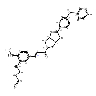 CNc1ncc(/C=C/C(=O)N2CC3C=C(c4ccc(Oc5ccncc5)cc4)CC3C2)cc1NCCC=O